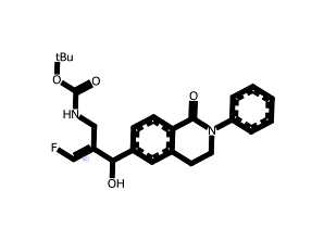 CC(C)(C)OC(=O)NC/C(=C\F)C(O)c1ccc2c(c1)CCN(c1ccccc1)C2=O